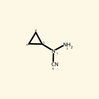 N#CN(N)C1CC1